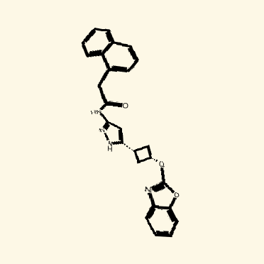 O=C(Cc1cccc2ccccc12)Nc1cc([C@H]2C[C@@H](Oc3nc4ccccc4o3)C2)[nH]n1